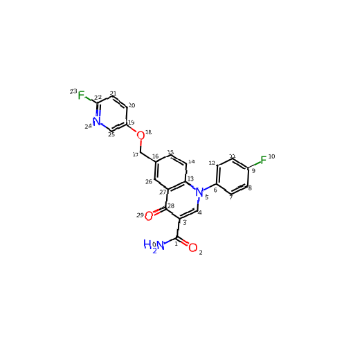 NC(=O)c1cn(-c2ccc(F)cc2)c2ccc(COc3ccc(F)nc3)cc2c1=O